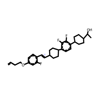 C=CCCOc1ccc(/C=C/C2CCC(c3ccc(C4CCC(C(C)O)CC4)c(F)c3F)CC2)c(F)c1